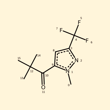 Cn1nc(C(F)(F)F)cc1C(=O)C(C)(C)C